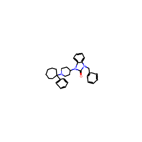 O=c1n(Cc2ccccc2)c2ccccc2n1C1CCN(C2(c3ccccc3)CCCCCC2)CC1